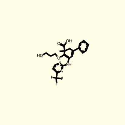 CC1(C(=O)O)CC(c2ccccc2)=CC(Nc2nccc(C(F)(F)F)n2)=C1OCCCO